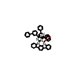 C1=Cc2c(c3ccc4c5ccccc5n(Cc5ccccc5-c5cccc(-c6ccccc6)n5)c4c3n2-c2nc(-c3ccccc3)nc(-c3cccc(-c4ccccc4)c3)n2)CC1